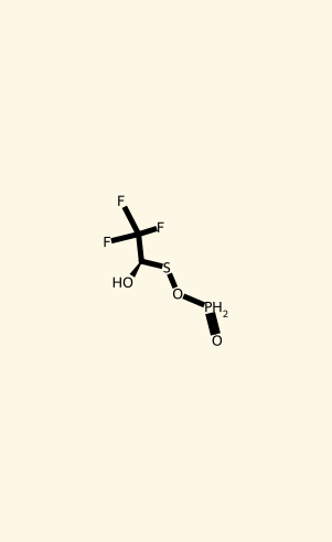 O=[PH2]OS[C@@H](O)C(F)(F)F